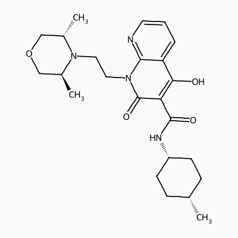 C[C@H]1COC[C@H](C)N1CCn1c(=O)c(C(=O)N[C@H]2CC[C@@H](C)CC2)c(O)c2cccnc21